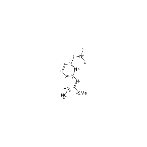 CSC(=Nc1cccc(CN(C)C)n1)NC#N